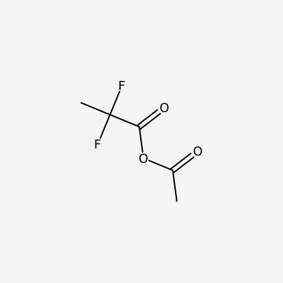 CC(=O)OC(=O)C(C)(F)F